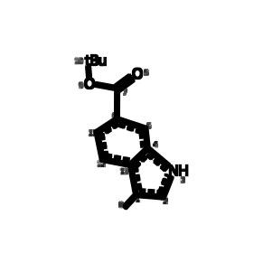 Cc1c[nH]c2cc(C(=O)OC(C)(C)C)ccc12